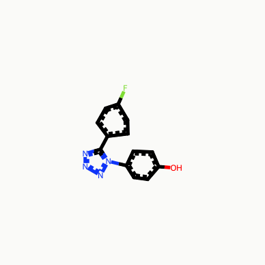 Oc1ccc(-n2nnnc2-c2ccc(F)cc2)cc1